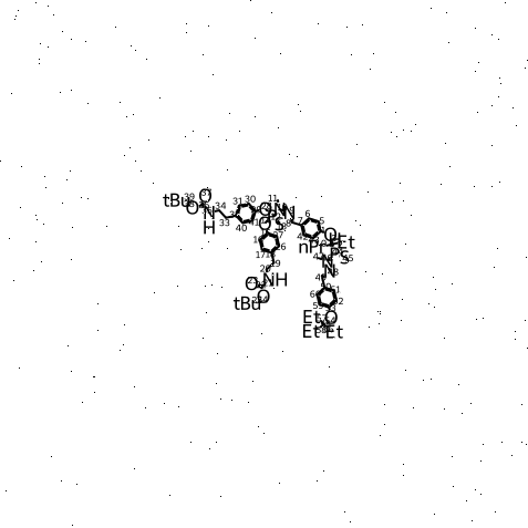 CCCC(CC)(Oc1ccc(/C=N/N(C)P(=S)(Oc2ccc(CCNC(=O)OC(C)(C)C)cc2)Oc2ccc(CCNC(=O)OC(C)(C)C)cc2)cc1)[PH](=S)N(C)/N=C/c1ccc(OC(CC)(CC)CC)cc1